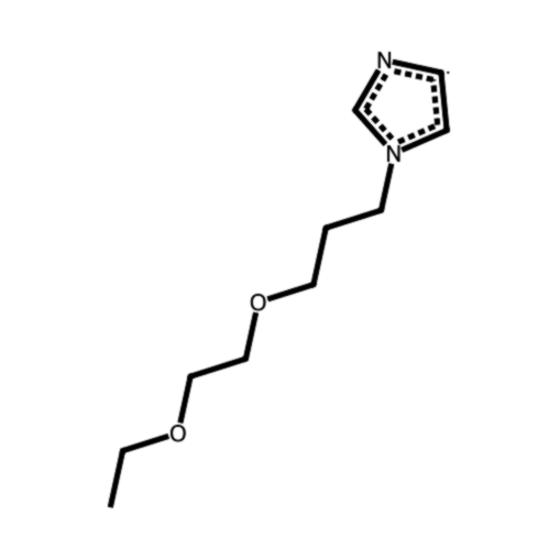 CCOCCOCCCn1c[c]nc1